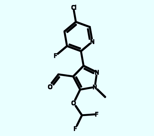 Cn1nc(-c2ncc(Cl)cc2F)c(C=O)c1OC(F)F